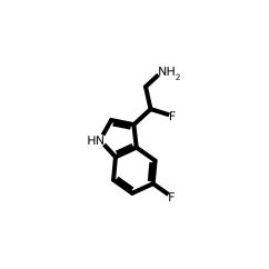 NCC(F)c1c[nH]c2ccc(F)cc12